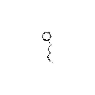 C=COCOc1ccccc1